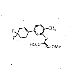 CO/C=C(\Oc1cc(C2=CCC(F)(F)CC2)ccc1C)C(=O)O